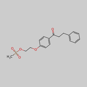 CS(=O)(=O)OCCOc1ccc(C(=O)CCc2ccccc2)cc1